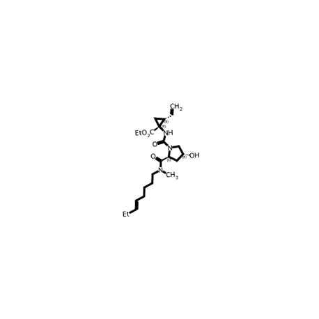 C=C[C@H]1C[C@]1(NC(=O)N1C[C@H](O)C[C@H]1C(=O)N(C)CCCCC=CCC)C(=O)OCC